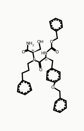 NC(=O)[C@@H](CO)N(CCCc1ccccc1)C(=O)[C@H](Cc1ccc(OCc2ccccc2)cc1)NC(=O)OCc1ccccc1